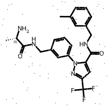 Cc1cccc(CNC(=O)c2cc(C(F)(F)F)nn2-c2cccc(CNC(=O)[C@H](C)N)c2)c1